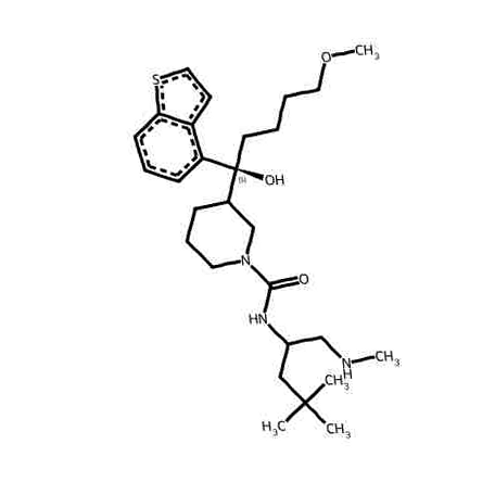 CNCC(CC(C)(C)C)NC(=O)N1CCCC([C@@](O)(CCCCOC)c2cccc3sccc23)C1